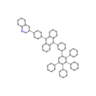 c1ccc(-c2cc(-c3cccc(-c4c5ccccc5c(-c5ccc(-c6cnc7ccccc7c6)cc5)c5ccccc45)c3)c(-c3ccccc3)c(-c3ccccc3)c2-c2ccccc2)cc1